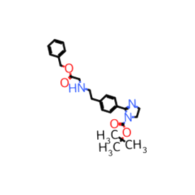 CC(C)(C)OC(=O)N1CCN=C1c1ccc(CCNCC(=O)OCc2ccccc2)cc1